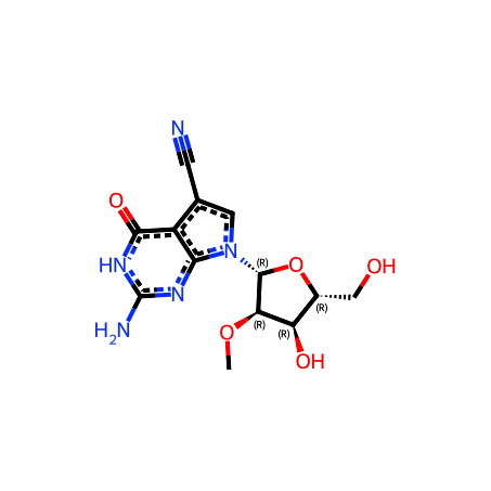 CO[C@@H]1[C@H](O)[C@@H](CO)O[C@H]1n1cc(C#N)c2c(=O)[nH]c(N)nc21